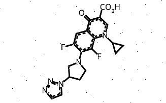 O=C(O)c1cn(C2CC2)c2c(F)c(N3CCC(n4ccnn4)C3)c(F)cc2c1=O